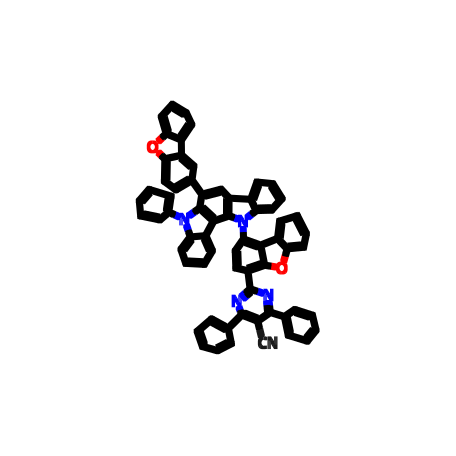 N#Cc1c(-c2ccccc2)nc(-c2ccc(-n3c4ccccc4c4cc(-c5ccc6oc7ccccc7c6c5)c5c(c6ccccc6n5-c5ccccc5)c43)c3c2oc2ccccc23)nc1-c1ccccc1